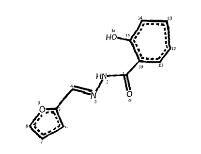 O=C(N/N=C/c1ccco1)c1ccccc1O